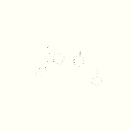 CC(=O)N1CN(C(=O)CC(C)(C)O)c2ccc(Cn3cnc(OCc4ccc(F)cc4F)c(Cl)c3=O)cc21